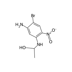 CC(O)Nc1cc(N)c(Br)cc1[N+](=O)[O-]